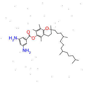 Cc1c(C)c2c(c(C)c1OC(=O)c1cc(N)cc(N)c1)CCC(C)(CCCC(C)CCCC(C)CCCC(C)C)O2